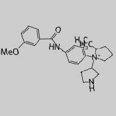 COc1cccc(C(=O)Nc2ccc([N+]3(C4CCNC4)CCCC3C)c(C)c2)c1